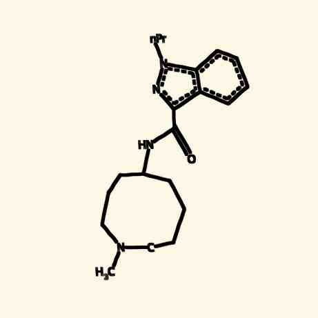 CCCn1nc(C(=O)NC2CCCCN(C)CCC2)c2ccccc21